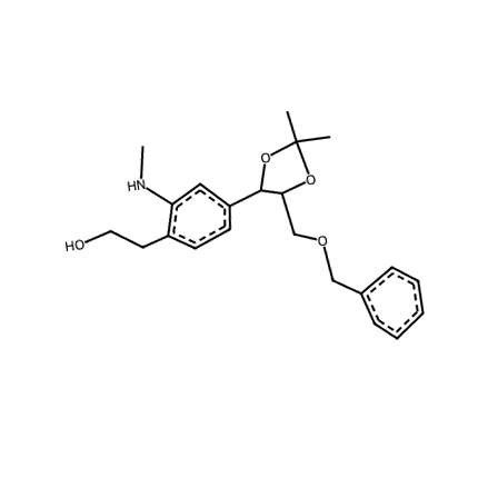 CNc1cc(C2OC(C)(C)OC2COCc2ccccc2)ccc1CCO